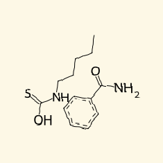 CCCCCNC(O)=S.NC(=O)c1ccccc1